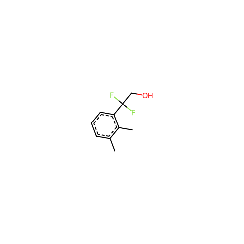 Cc1cccc(C(F)(F)CO)c1C